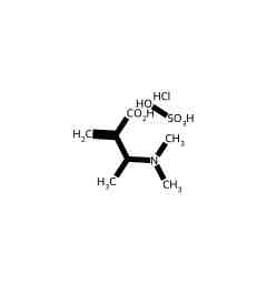 C=C(C(=O)O)C(C)N(C)C.Cl.O=S(=O)(O)O